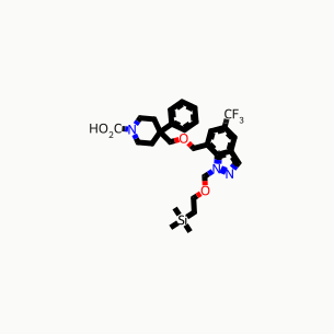 C[Si](C)(C)CCOCn1ncc2cc(C(F)(F)F)cc(COCC3(c4ccccc4)CCN(C(=O)O)CC3)c21